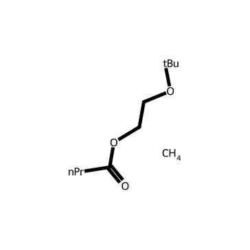 C.CCCC(=O)OCCOC(C)(C)C